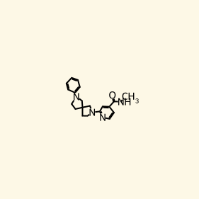 CNC(=O)c1ccnc(N2CCC3(CCN(c4ccccc4)C3)C2)c1